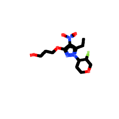 CCc1c([N+](=O)[O-])c(OCCCO)nn1C1CCOCC1F